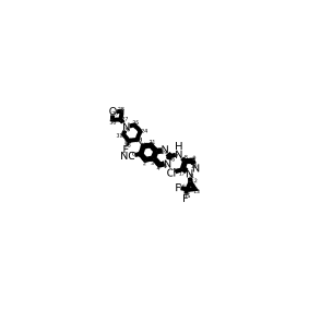 N#Cc1cc2cnc(Nc3cnn(C4CC4(F)F)c3Cl)nc2cc1[C@H]1CCN(C2COC2)C[C@@H]1F